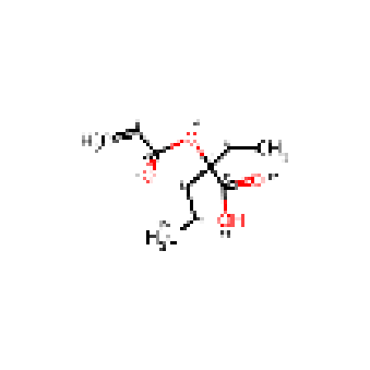 C=CC(=O)OC(CC)(CCC)C(=O)O